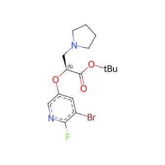 CC(C)(C)OC(=O)[C@H](CN1CCCC1)Oc1cnc(F)c(Br)c1